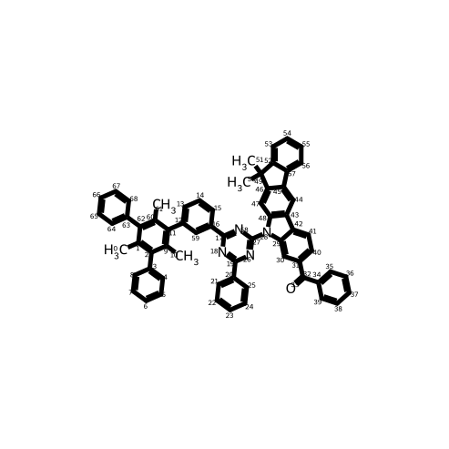 Cc1c(-c2ccccc2)c(C)c(-c2cccc(-c3nc(-c4ccccc4)nc(-n4c5cc(C(=O)c6ccccc6)ccc5c5cc6c(cc54)C(C)(C)c4ccccc4-6)n3)c2)c(C)c1-c1ccccc1